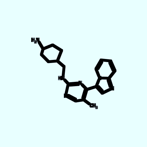 Cc1cnc(NCC2CCC(N)CC2)nc1-c1cnc2ccccn12